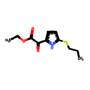 CCCSc1ccc(C(=O)C(=O)OCC)[nH]1